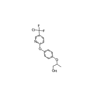 CC(CO)Oc1ccc(Oc2ccc(C(F)(F)Cl)cn2)cc1